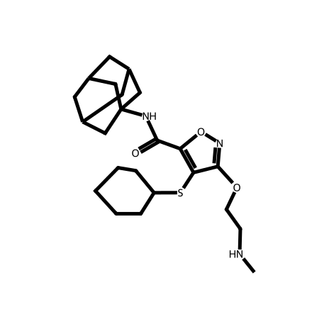 CNCCOc1noc(C(=O)NC23CC4CC(CC(C4)C2)C3)c1SC1CCCCC1